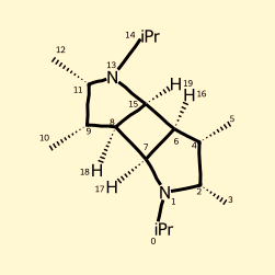 CC(C)N1[C@@H](C)[C@@H](C)[C@H]2[C@@H]1[C@H]1[C@H](C)[C@H](C)N(C(C)C)[C@H]12